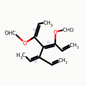 C=CC(=C/C)/C(=C(\C=C)OC=O)C(=C\C)/OC=O